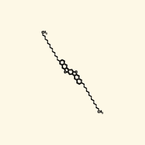 CCCCCCCCCCCCCCc1ccc2cc3c(cc2c1)oc1cc2c(cc13)oc1cc3cc(CCCCCCCCCCCCCC)ccc3cc12